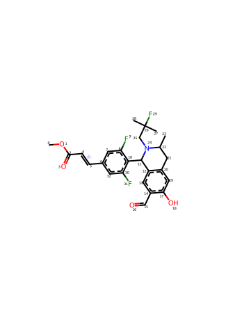 COC(=O)/C=C/c1cc(F)c(C2c3cc(C=O)c(O)cc3CC(C)N2CC(C)(C)F)c(F)c1